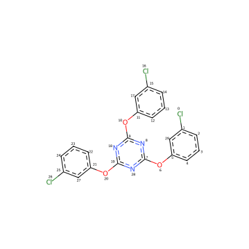 Clc1cccc(Oc2nc(Oc3cccc(Cl)c3)nc(Oc3cccc(Cl)c3)n2)c1